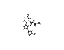 CC(C)c1nc(-c2ncn3c2CN(C(=O)N(C)C)c2cc(Cl)ccc2-3)no1